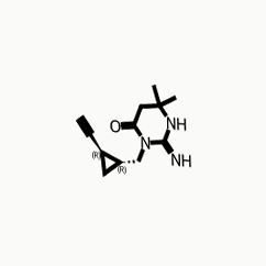 C#C[C@@H]1C[C@H]1CN1C(=N)NC(C)(C)CC1=O